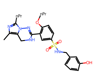 CCCOc1ccc(S(=O)(=O)NCc2cccc(O)c2)cc1C1=Nn2c(CCC)nc(C)c2CN1